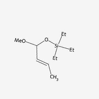 CC=CC(OC)O[Si](CC)(CC)CC